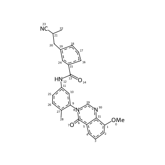 COc1cccc2c(=O)n(-c3cc(NC(=O)c4cccc(CC(C)C#N)c4)ccc3C)cnc12